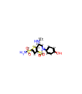 CCN[C@@H]1CN(c2ccc(O)cc2)S(=O)(=O)c2cc(S(N)(=O)=O)sc21